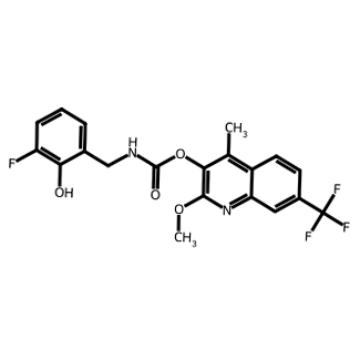 COc1nc2cc(C(F)(F)F)ccc2c(C)c1OC(=O)NCc1cccc(F)c1O